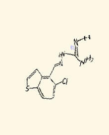 [H]/N=C(\N)NN=Cc1c(Cl)ccc2sccc12